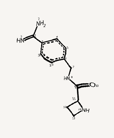 N=C(N)c1ccc(CNC(=O)C2CCN2)cc1